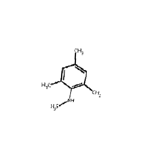 Cc1cc(C)c(N[SiH3])c(C)c1